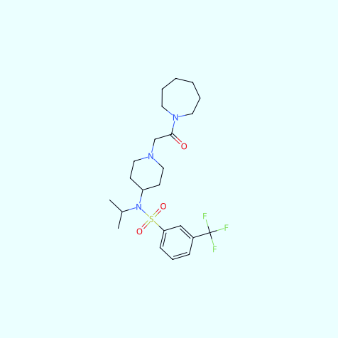 CC(C)N(C1CCN(CC(=O)N2CCCCCC2)CC1)S(=O)(=O)c1cccc(C(F)(F)F)c1